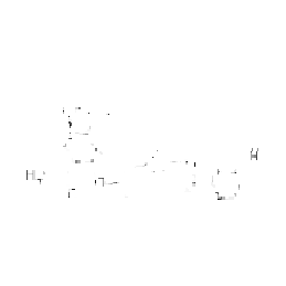 Cc1sc2cc(C(N)=O)c(O[C@@H](C)CC3CC(NC(=O)c4cccc(C#N)c4)C3)nc2c1C